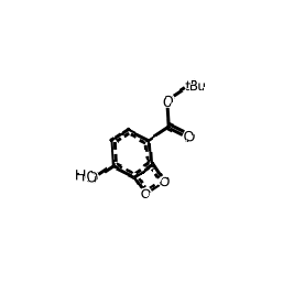 CC(C)(C)OC(=O)c1ccc(O)c2ooc12